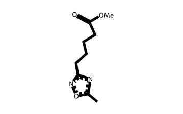 COC(=O)CCCCc1noc(C)n1